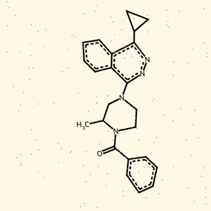 CC1CN(c2nnc(C3CC3)c3ccccc23)CCN1C(=O)c1ccccc1